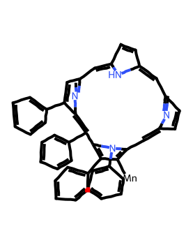 [Mn][c]1c(-c2ccccc2)c2c(-c3ccccc3)c3nc(cc4ccc(cc5nc(cc1n2-c1ccccc1)C=C5)[nH]4)C=C3c1ccccc1